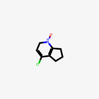 [O-][NH+]1CC=C(Cl)C2=C1CCC2